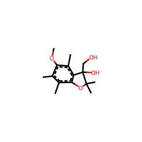 COc1c(C)c(C)c2c(c1C)C(O)(CO)C(C)(C)O2